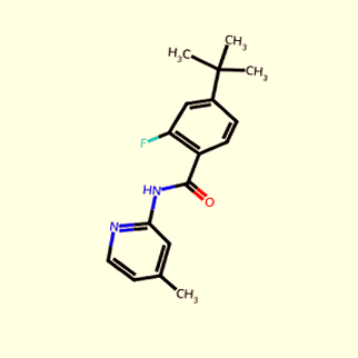 Cc1ccnc(NC(=O)c2ccc(C(C)(C)C)cc2F)c1